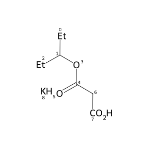 CCC(CC)OC(=O)CC(=O)O.[KH]